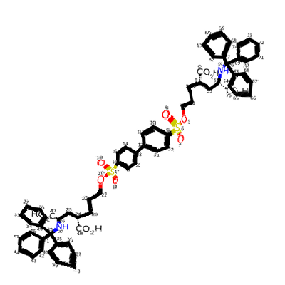 O=C(O)[C@@H](CCCOS(=O)(=O)c1ccc(-c2ccc(S(=O)(=O)OCCC[C@@H](C[C@H](NC(c3ccccc3)(c3ccccc3)c3ccccc3)C(=O)O)C(=O)O)cc2)cc1)C[C@H](NC(c1ccccc1)(c1ccccc1)c1ccccc1)C(=O)O